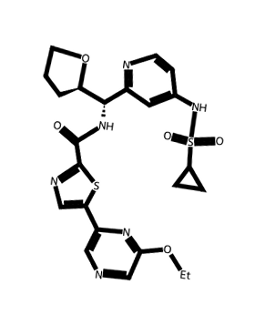 CCOc1cncc(-c2cnc(C(=O)N[C@@H](c3cc(NS(=O)(=O)C4CC4)ccn3)[C@H]3CCCO3)s2)n1